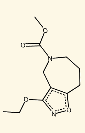 CCOc1noc2c1CN(C(=O)OC)CCC2